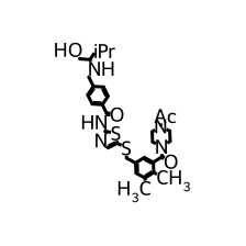 CC(=O)N1CCN(C(=O)c2cc(CSc3cnc(NC(=O)c4ccc(CNC(CO)C(C)C)cc4)s3)cc(C)c2C)CC1